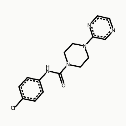 O=C(Nc1ccc(Cl)cc1)N1CCN(c2cnccn2)CC1